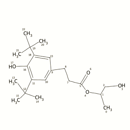 CC(CO)OC(=O)CCc1cc(C(C)(C)C)c(O)c(C(C)(C)C)c1